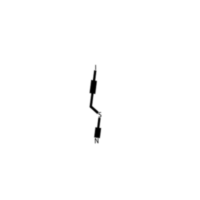 N#CSCC#CI